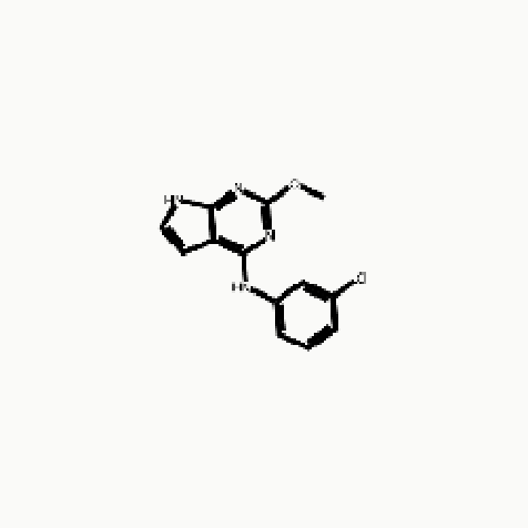 COc1nc(Nc2cccc(Cl)c2)c2cc[nH]c2n1